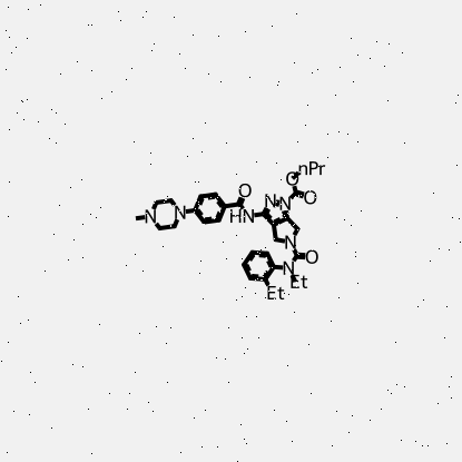 CCCOC(=O)n1nc(NC(=O)c2ccc(N3CCN(C)CC3)cc2)c2c1CN(C(=O)N(CC)c1ccccc1CC)C2